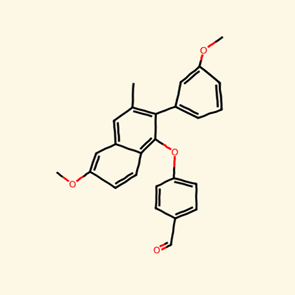 COc1cccc(-c2c(C)cc3cc(OC)ccc3c2Oc2ccc(C=O)cc2)c1